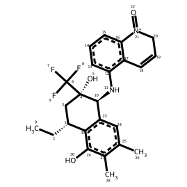 CC[C@@H]1C[C@@](O)(C(F)(F)F)[C@@H](Nc2cccc3c2C=CC[N+]3=O)c2cc(C)c(C)c(O)c21